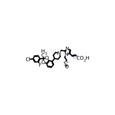 CC1(c2ccc(Cl)cc2F)Oc2cccc(C3CCN(Cc4ncc(/C=C/C(=O)O)n4CC[S+]=O)CC3)c2O1